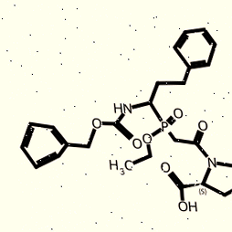 CCOP(=O)(CC(=O)N1CCC[C@H]1C(=O)O)C(CCc1ccccc1)NC(=O)OCc1ccccc1